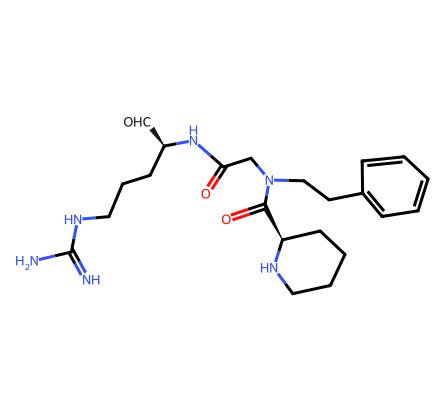 N=C(N)NCCC[C@@H](C=O)NC(=O)CN(CCc1ccccc1)C(=O)[C@H]1CCCCN1